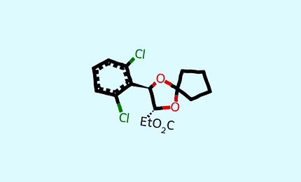 CCOC(=O)[C@H]1OC2(CCCC2)O[C@@H]1c1c(Cl)cccc1Cl